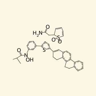 CC(C)C(=O)N(O)c1cccc(-c2ccc(C3=Cc4ccc5c(c4CC3)CCc3ccccc3-5)s2)c1.NC(=O)CC1C=CC=CS1(=O)=O